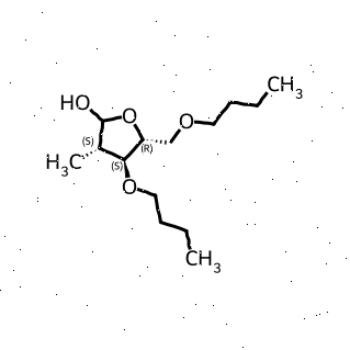 CCCCOC[C@H]1OC(O)[C@@H](C)[C@@H]1OCCCC